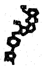 Cn1cc(-c2ccc(CN3Cc4cccc(Oc5c(Cl)cccc5CC#N)c4C3O)cc2)cn1